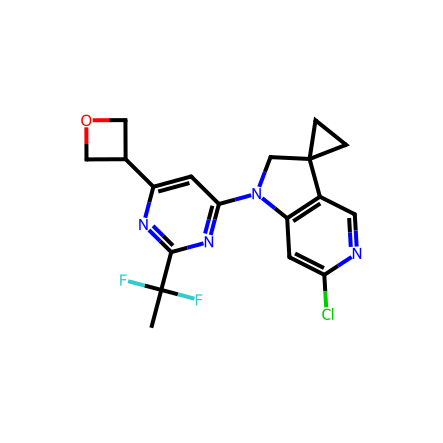 CC(F)(F)c1nc(C2COC2)cc(N2CC3(CC3)c3cnc(Cl)cc32)n1